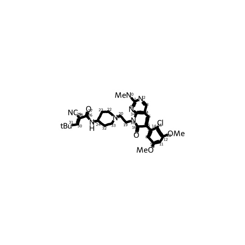 CNc1ncc2cc(-c3cc(OC)cc(OC)c3Cl)c(=O)n(CCN3CCC(NC(=O)C(C#N)=CC(C)(C)C)CC3)c2n1